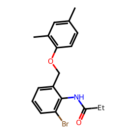 CCC(=O)Nc1c(Br)cccc1COc1ccc(C)cc1C